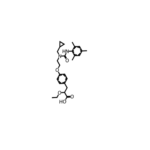 CCOC(Cc1ccc(OCCN(CC2CC2)C(=O)Nc2c(C)cc(C)cc2C)cc1)C(=O)O